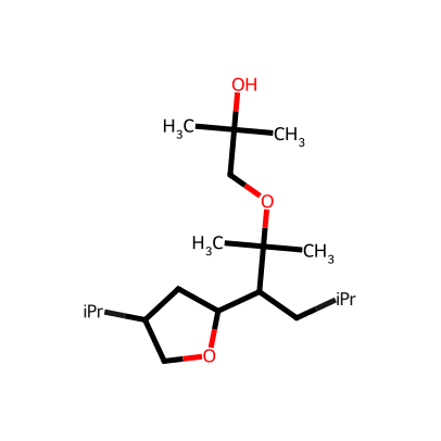 CC(C)CC(C1CC(C(C)C)CO1)C(C)(C)OCC(C)(C)O